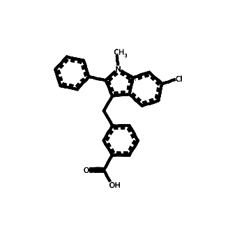 Cn1c(-c2ccccc2)c(Cc2cccc(C(=O)O)c2)c2ccc(Cl)cc21